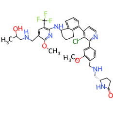 COc1cc(-c2nccc(-c3cccc4c3CCC[C@H]4Nc3nc(OC)c(CNCC(C)O)cc3C(F)(F)F)c2Cl)ccc1CNC[C@@H]1CCC(=O)N1